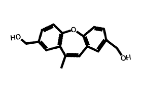 CC1=Cc2cc(CO)ccc2Oc2ccc(CO)cc21